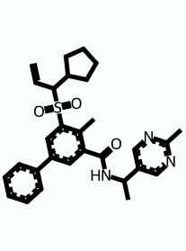 C=CC(C1CCCC1)S(=O)(=O)c1cc(-c2ccccc2)cc(C(=O)NC(C)c2cnc(C)nc2)c1C